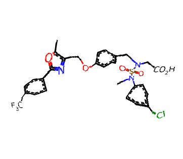 Cc1oc(-c2ccc(C(F)(F)F)cc2)nc1COc1ccc(CN(CC(=O)O)S(=O)(=O)N(C)c2ccc(Cl)cc2)cc1